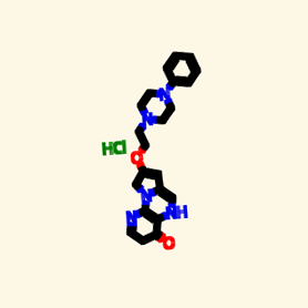 Cl.O=C1CC=NC2=C1NC=C1C=C(OCCN3CCN(c4ccccc4)CC3)CN12